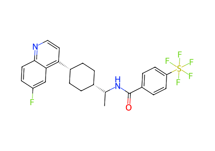 CC(NC(=O)c1ccc(S(F)(F)(F)(F)F)cc1)[C@H]1CC[C@@H](c2ccnc3ccc(F)cc32)CC1